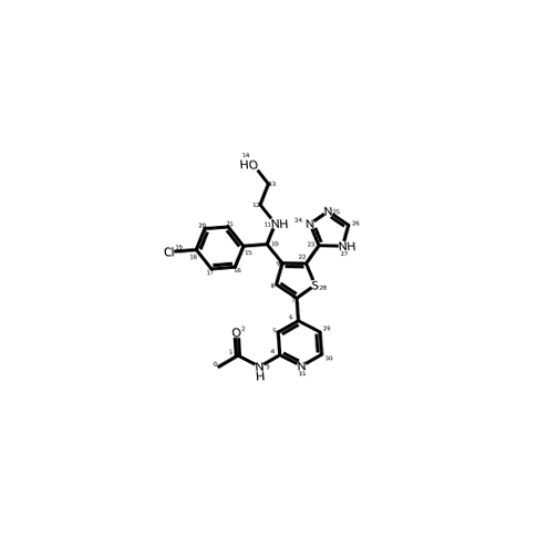 CC(=O)Nc1cc(-c2cc(C(NCCO)c3ccc(Cl)cc3)c(-c3nnc[nH]3)s2)ccn1